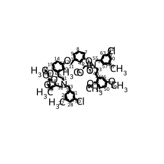 COCP(=O)(Oc1cccc(COc2ccc(OC)c(CCN(Cc3cc(C)cc(Cl)c3)Cc3oc(=O)oc3C)c2)c1)N(CCc1cc(OC)ccc1OC)Cc1cc(C)cc(Cl)c1